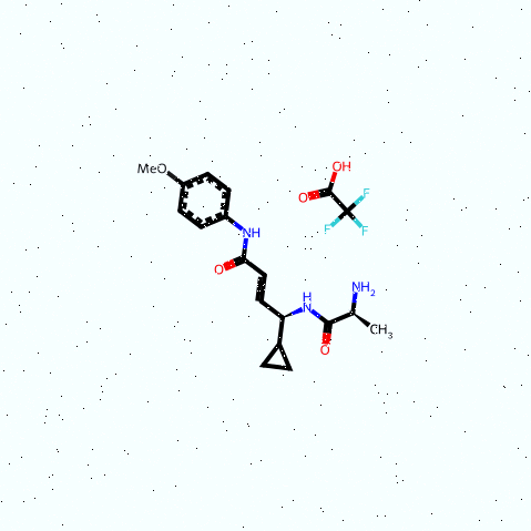 COc1ccc(NC(=O)C=C[C@@H](NC(=O)[C@H](C)N)C2CC2)cc1.O=C(O)C(F)(F)F